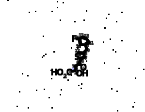 O=C(O)/C(O)=C/C(=O)c1cc(Cc2cccc(F)c2)cs1